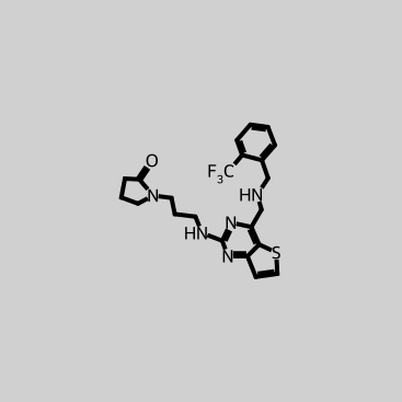 O=C1CCCN1CCCNc1nc(CNCc2ccccc2C(F)(F)F)c2sccc2n1